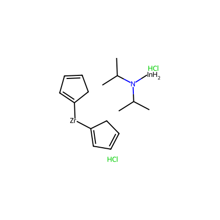 C1=CC[C]([Zr][C]2=CC=CC2)=C1.CC(C)[N]([InH2])C(C)C.Cl.Cl